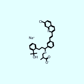 CC(CSC(CCc1ccccc1C(C)(C)O)c1cccc(C=Cc2ccc3ccc(Cl)cc3n2)c1)C(=O)[O-].[Na+]